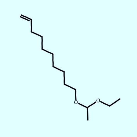 C=CCCCCCCCCOC(C)OCC